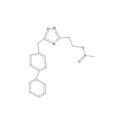 CC(=O)SCCc1noc(Cc2ccc(-c3ccccc3)cc2)n1